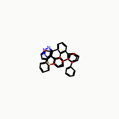 c1ccc(-c2ccccc2-c2ccc3sc4ccccc4c3c2-c2c(-c3ccccc3)cccc2-c2nnnc(-c3ccccc3)c2-c2ccccc2)cc1